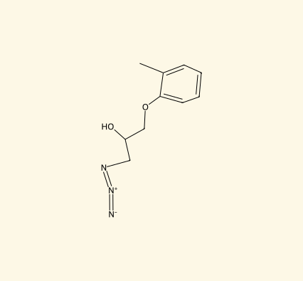 Cc1ccccc1OCC(O)CN=[N+]=[N-]